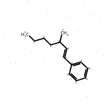 CCCCC(C)C=Cc1ccccc1